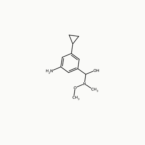 CON(C)C(O)c1cc(N)cc(C2CC2)c1